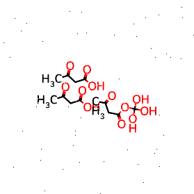 CC(=O)CC(=O)O.CC(=O)CC(=O)O.CC(=O)CC(=O)OC(O)(O)O